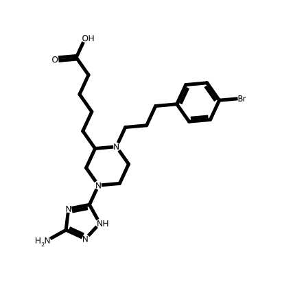 Nc1n[nH]c(N2CCN(CCCc3ccc(Br)cc3)C(CCCCC(=O)O)C2)n1